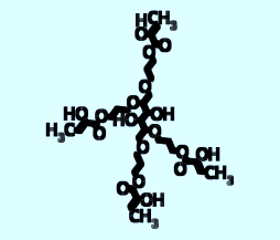 CC=C(O)C(=O)OCCCOCC(OCCCOC(=O)C(O)=CC)C(O)C(O)C(COCCCOC(=O)C(O)=CC)OCCCOC(=O)C(O)=CC